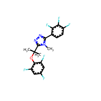 Cn1c(-c2ccc(F)c(F)c2F)nnc1C(C)(C)Oc1c(F)cc(F)cc1F